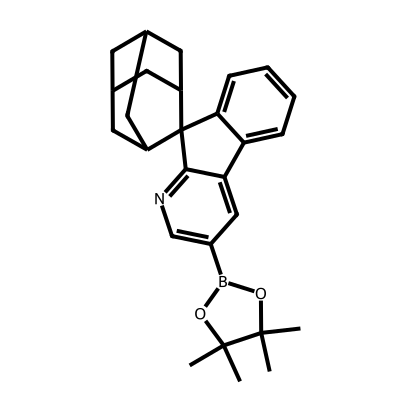 CC1(C)OB(c2cnc3c(c2)-c2ccccc2C32C3CC4CC(C3)CC2C4)OC1(C)C